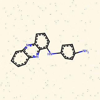 Nc1ccc(Nc2cccc3nc4ccccc4nc23)cc1